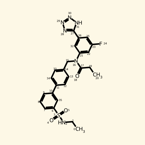 CCNS(=O)(=O)c1cccc(-c2ccc(CN(C(=O)CC)c3cc(F)cc(-c4nnn[nH]4)c3)cc2)c1